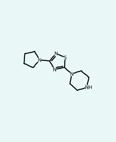 C1CCN(c2nsc(N3CCNCC3)n2)C1